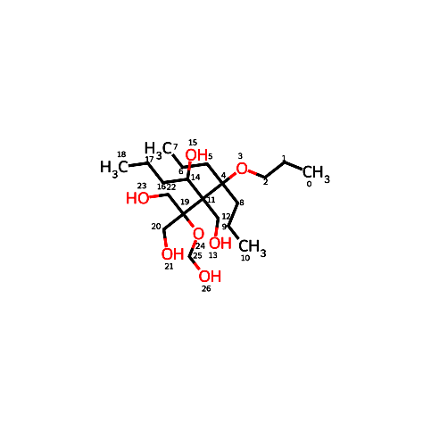 CCCOC(CCC)(CCC)C(CO)(C(O)CCC)C(CO)(CO)OCO